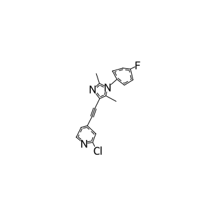 Cc1nc(C#Cc2ccnc(Cl)c2)c(C)n1-c1ccc(F)cc1